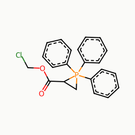 O=C(OCCl)C1CP1(c1ccccc1)(c1ccccc1)c1ccccc1